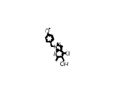 COc1ccc(Cn2ncc3c(Cl)c(CO)c(C)nc32)cc1